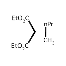 CCCC.CCOC(=O)CC(=O)OCC